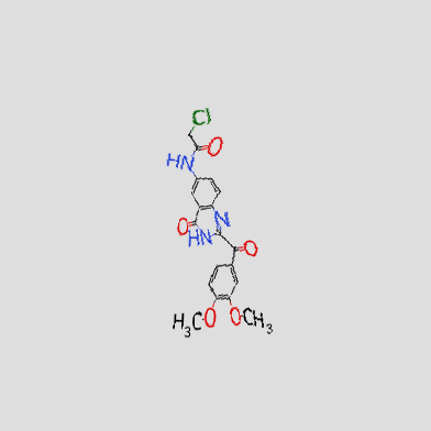 COc1ccc(C(=O)c2nc3ccc(NC(=O)CCl)cc3c(=O)[nH]2)cc1OC